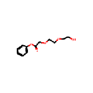 O=C(COCCOCCO)Oc1ccccc1